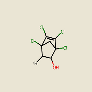 [2H]C1C(O)C2(Cl)CC1(Cl)C(Cl)=C2Cl